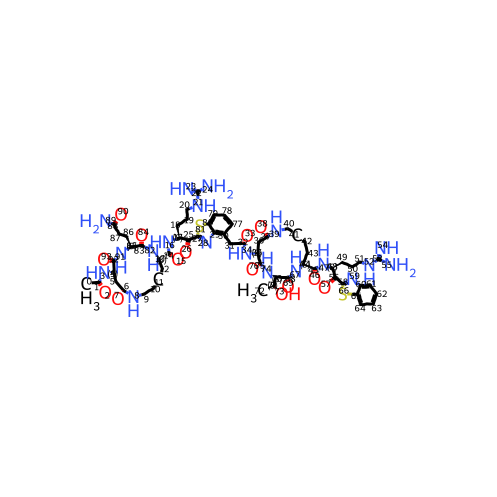 CC(=O)N[C@H]1CC(=O)NCCCC[C@@H](C(=O)N[C@@H](CCCNC(=N)N)C(=O)c2nc3c(CC(=O)N[C@H]4CC(=O)NCCCC[C@@H](C(=O)N[C@@H](CCCNC(=N)N)C(=O)c5nc6ccccc6s5)NC(=O)[C@H]([C@H](C)O)NC4=O)cccc3s2)NC(=O)[C@H](CCC(N)=O)NC1=O